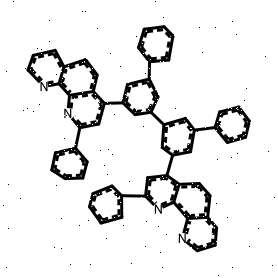 c1ccc(-c2cc(-c3cc(-c4ccccc4)cc(-c4cc(-c5ccccc5)nc5c4ccc4cccnc45)c3)cc(-c3cc(-c4ccccc4)nc4c3ccc3cccnc34)c2)cc1